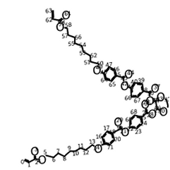 C=CC(=O)OCCCCCCCCCOc1ccc(C(=O)Oc2ccc(C(=O)O[C@H]3OCCO[C@@H]3OC(=O)c3ccc(OC(=O)c4ccc(OCCCCCCCCCOC(=O)C=C)cc4)cc3)cc2)cc1